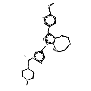 COc1ccc(-c2nn(-c3cnn([C@@H](C)C4CCN(C)CC4)c3)c3c2CCOCN3)cn1